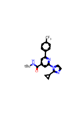 CC(C)(C)NC(=O)c1cc(-c2ccc(C(F)(F)F)cc2)nc(-n2ccnc2C2CC2)c1